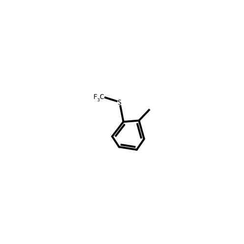 Cc1ccccc1SC(F)(F)F